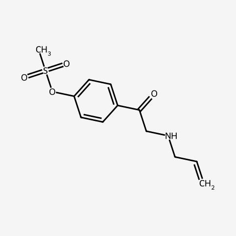 C=CCNCC(=O)c1ccc(OS(C)(=O)=O)cc1